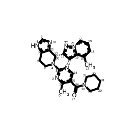 Cc1nc(N2CCc3[nH]cnc3[C@@H]2c2cc3c(C)cccn3n2)ncc1C(=O)N1CCCCC1